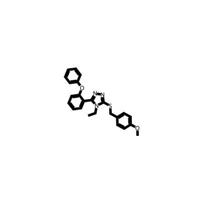 CCn1c(SCc2ccc(OC)cc2)nnc1-c1ccccc1Oc1ccccc1